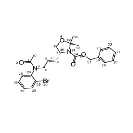 CC(=O)N(C/C=C/[C@@H]1COC(C)(C)N1C(=O)OCc1ccccc1)c1ccccc1Br